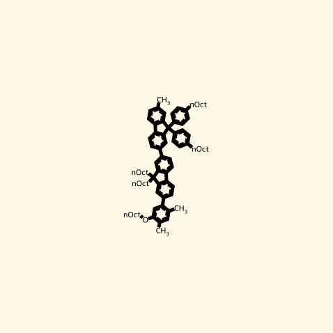 CCCCCCCCOc1cc(-c2ccc3c(c2)C(CCCCCCCC)(CCCCCCCC)c2cc(-c4ccc5c(c4)C(c4ccc(CCCCCCCC)cc4)(c4ccc(CCCCCCCC)cc4)c4cc(C)ccc4-5)ccc2-3)c(C)cc1C